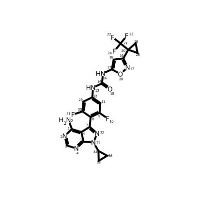 Nc1ncnc2c1c(-c1c(F)cc(NC(=O)Nc3cc(C4(C(F)(F)F)CC4)no3)cc1F)nn2C1CC1